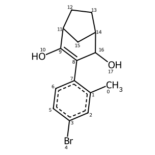 Cc1cc(Br)ccc1C1=C(O)C2CCC(C2)C1O